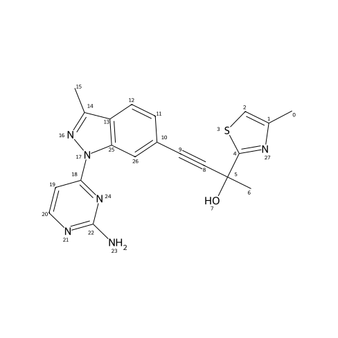 Cc1csc(C(C)(O)C#Cc2ccc3c(C)nn(-c4ccnc(N)n4)c3c2)n1